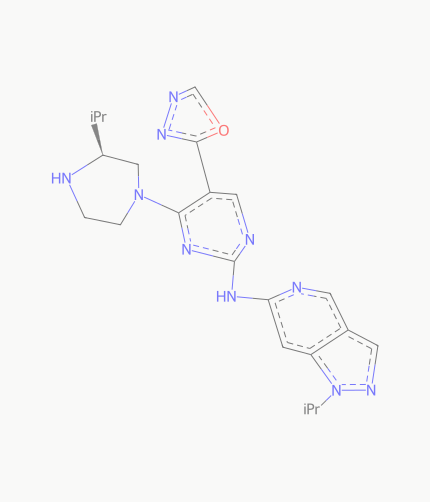 CC(C)[C@H]1CN(c2nc(Nc3cc4c(cn3)cnn4C(C)C)ncc2-c2nnco2)CCN1